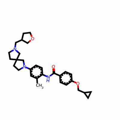 Cc1cc(N2CCC3(CCN(CC4CCOC4)C3)C2)ccc1NC(=O)c1ccc(OCC2CC2)cc1